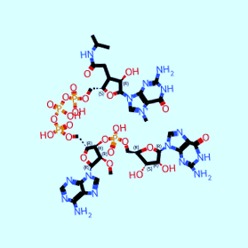 CO[C@@H]1[C@H](OP(=O)(O)OC[C@H]2O[C@@H](n3cnc4c(=O)[nH]c(N)nc43)[C@H](O)[C@@H]2O)[C@@H](COP(=O)(O)OP(=O)(O)OP(=O)(O)OC[C@H]2OC(n3c[n+](C)c4c(=O)[nH]c(N)nc43)[C@H](O)C2CC(=O)NC(C)C)O[C@H]1n1cnc2c(N)ncnc21